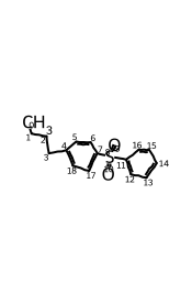 CCCCc1ccc(S(=O)(=O)c2ccccc2)cc1